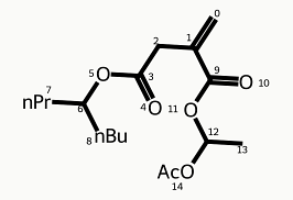 C=C(CC(=O)OC(CCC)CCCC)C(=O)OC(C)OC(C)=O